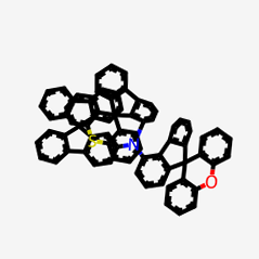 c1ccc2c(c1)Oc1ccccc1C21c2ccccc2-c2c(N(c3ccc4c(c3)C3(c5ccccc5-c5ccccc53)c3ccccc3-4)c3cccc4c3C3(c5ccccc5Sc5ccccc53)c3ccccc3-4)cccc21